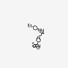 CC[C@H]1CC[C@H](NCC2(CCN3CCC(c4noc5ccsc45)CC3)CC2)CC1